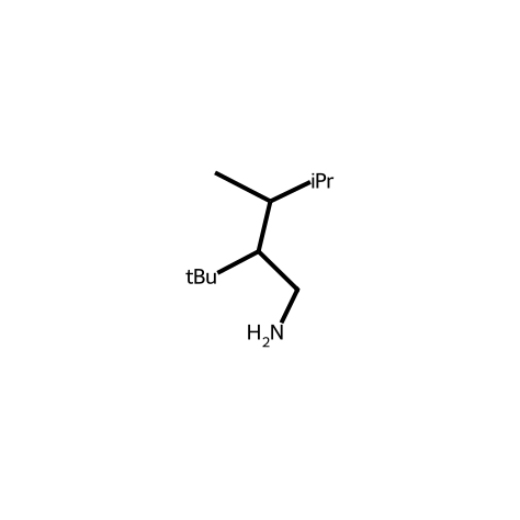 CC(C)C(C)C(CN)C(C)(C)C